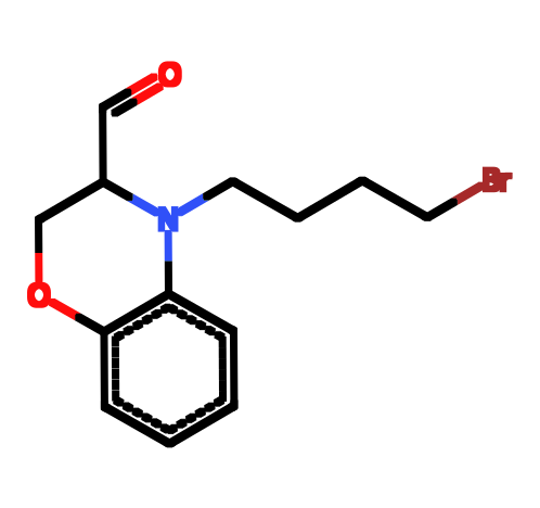 O=CC1COc2ccccc2N1CCCCBr